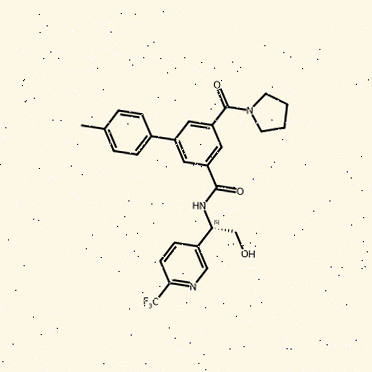 Cc1ccc(-c2cc(C(=O)N[C@H](CO)c3ccc(C(F)(F)F)nc3)cc(C(=O)N3CCCC3)c2)cc1